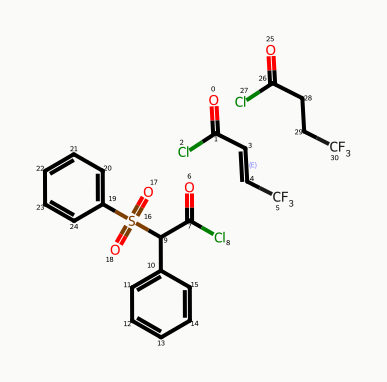 O=C(Cl)/C=C/C(F)(F)F.O=C(Cl)C(c1ccccc1)S(=O)(=O)c1ccccc1.O=C(Cl)CCC(F)(F)F